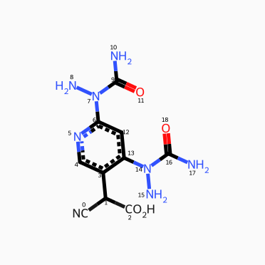 N#CC(C(=O)O)c1cnc(N(N)C(N)=O)cc1N(N)C(N)=O